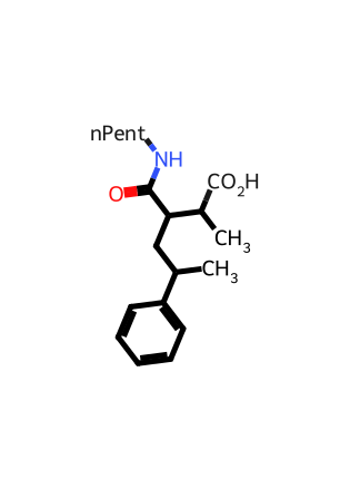 CCCCCNC(=O)C(CC(C)c1ccccc1)C(C)C(=O)O